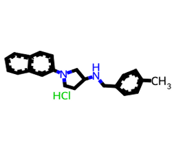 Cc1ccc(CNC2CCN(c3ccc4ccccc4c3)C2)cc1.Cl